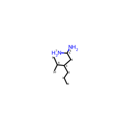 CCCC(CC(N)N)C(C)C